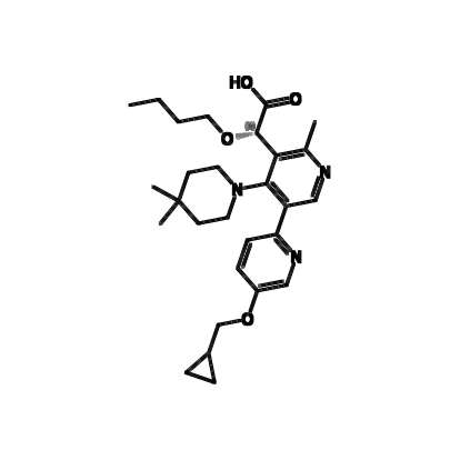 CCCCO[C@H](C(=O)O)c1c(C)ncc(-c2ccc(OCC3CC3)cn2)c1N1CCC(C)(C)CC1